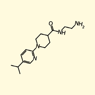 CC(C)c1ccc(N2CCC(C(=O)NCCN)CC2)nc1